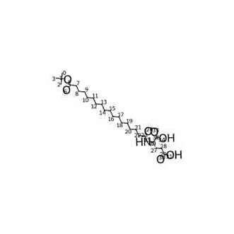 CC(C)(C)OC(=O)CCCCCCCCCCCCCCCCC(=O)N[C@@H](CCC(=O)O)C(=O)O